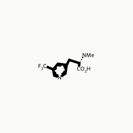 CN[C@@H](Cc1cncc(C(F)(F)F)c1)C(=O)O